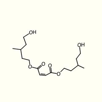 CC(CCO)CCOC(=O)/C=C\C(=O)OCCC(C)CCO